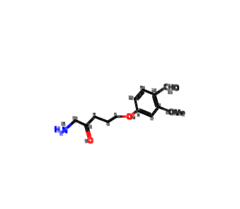 COc1cc(OCCCC(=O)[CH]N)ccc1C=O